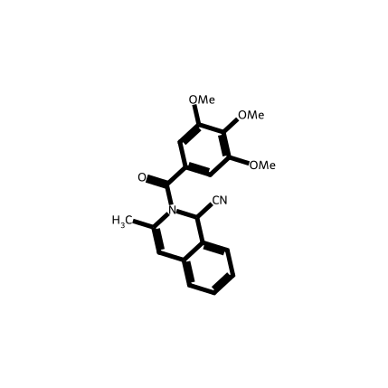 COc1cc(C(=O)N2C(C)=Cc3ccccc3C2C#N)cc(OC)c1OC